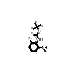 CNc1cccc(F)c1NC(=O)OC(C)(C)C